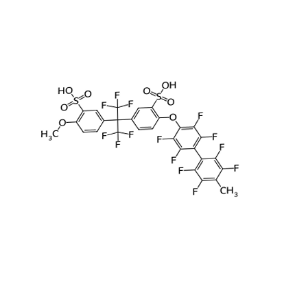 COc1ccc(C(c2ccc(Oc3c(F)c(F)c(-c4c(F)c(F)c(C)c(F)c4F)c(F)c3F)c(S(=O)(=O)O)c2)(C(F)(F)F)C(F)(F)F)cc1S(=O)(=O)O